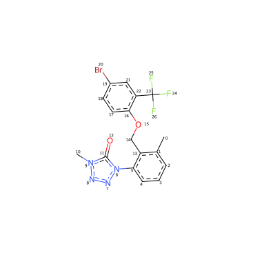 Cc1cccc(-n2nnn(C)c2=O)c1COc1ccc(Br)cc1C(F)(F)F